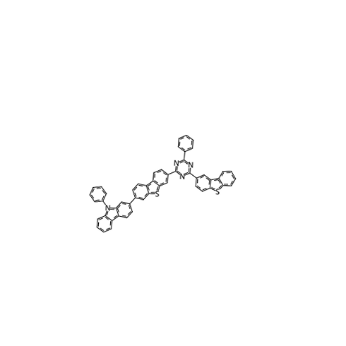 c1ccc(-c2nc(-c3ccc4c(c3)sc3cc(-c5ccc6c7ccccc7n(-c7ccccc7)c6c5)ccc34)nc(-c3ccc4sc5ccccc5c4c3)n2)cc1